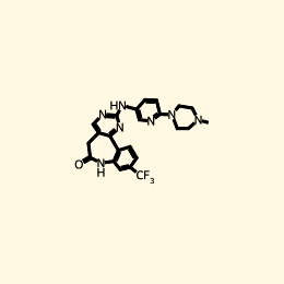 CN1CCN(c2ccc(Nc3ncc4c(n3)-c3ccc(C(F)(F)F)cc3NC(=O)C4)cn2)CC1